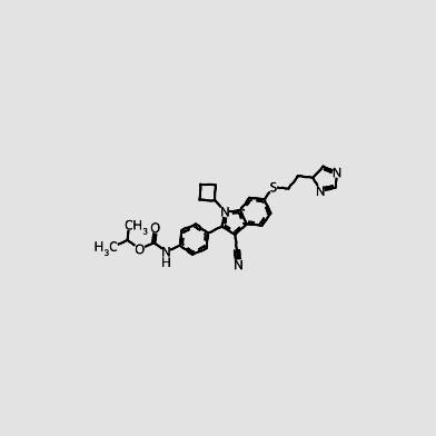 CC(C)OC(=O)Nc1ccc(-c2c(C#N)c3ccc(SCCC4C=NC=N4)cc3n2C2CCC2)cc1